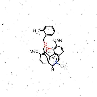 COc1ccc2c3c1O[C@H]1[C@@]4(OC)CC[C@@]5(C[C@@H]4COCc4ccccc4C)[C@@H](C2)N(C)CC[C@]315